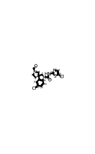 O=CN1CC[C@@]2(C1)CN(C(=O)Nc1ncc(Cl)s1)c1ccc(Cl)cc12